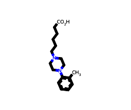 Cc1ccccc1N1CCN(CCCCCC(=O)O)CC1